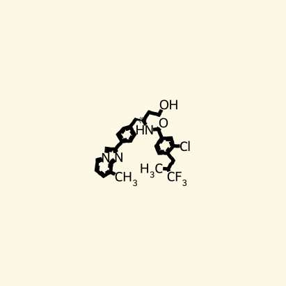 Cc1cccn2cc(-c3ccc(C[C@@H](CCO)NC(=O)c4ccc(CC(C)C(F)(F)F)c(Cl)c4)cc3)nc12